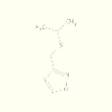 CC(C)SCc1ncon1